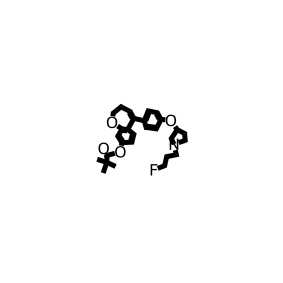 CC(C)(C)C(=O)Oc1ccc2c(c1)OCCC=C2c1ccc(OC2CCN(CCCF)C2)cc1